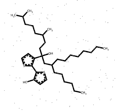 CCCCCCCCC(CCCCCC)CC(O)(CCC(C)CCCC(C)C)c1ccsc1-c1sccc1O